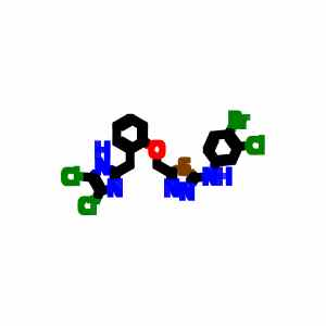 Clc1cc(Nc2nnc(COc3ccccc3Cc3nc(Cl)c(Cl)[nH]3)s2)ccc1Br